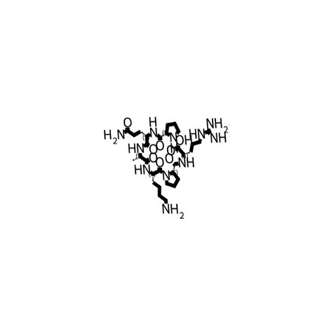 C[C@H](NC(=O)[C@H](CCC(N)=O)NC(=O)[C@@H]1CCCN1)C(=O)N[C@@H](CCCCN)C(=O)N1CCC[C@H]1C(=O)N[C@@H](CCCNC(=N)N)C(=O)O